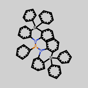 c1ccc(P(N2c3ccccc3[Si](c3ccccc3)(c3ccccc3)c3ccccc32)N2c3ccccc3[Si](c3ccccc3)(c3ccccc3)c3ccccc32)cc1